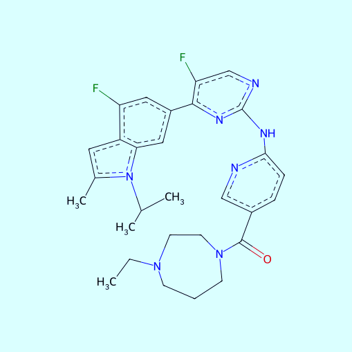 CCN1CCCN(C(=O)c2ccc(Nc3ncc(F)c(-c4cc(F)c5cc(C)n(C(C)C)c5c4)n3)nc2)CC1